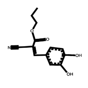 CCCOC(=O)C(C#N)=Cc1ccc(O)c(O)c1